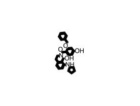 O=C(c1c(O)cc(O)cc1OCc1ccccc1)N1CCc2cccc(NC3CCCC3)c2C1